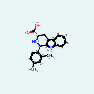 Cc1ccc([C@H]2N[C@H](C(=O)O)Cc3c2[nH]c2ccccc32)c(C)c1